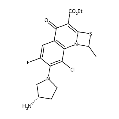 CCOC(=O)c1c2n(c3c(Cl)c(N4CC[C@H](N)C4)c(F)cc3c1=O)C(C)S2